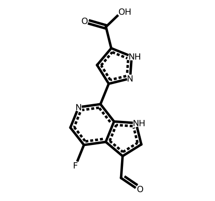 O=Cc1c[nH]c2c(-c3cc(C(=O)O)[nH]n3)ncc(F)c12